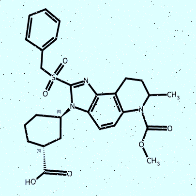 COC(=O)N1c2ccc3c(nc(S(=O)(=O)Cc4ccccc4)n3[C@@H]3CCC[C@@H](C(=O)O)C3)c2CCC1C